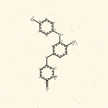 O=c1ccc(Cc2ccc(C(F)(F)F)c(Oc3ccc(Cl)cc3)c2)n[nH]1